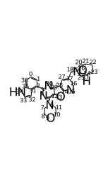 c1cc(-c2nc(N3CCOCC3)c3oc4ncc(CN5CC6CC[C@H](C5)O6)cc4c3n2)c2cc[nH]c2c1